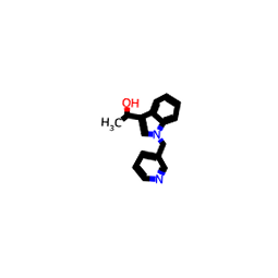 CC(O)c1cn(Cc2cccnc2)c2ccccc12